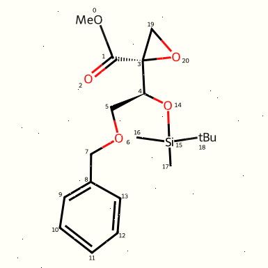 COC(=O)[C@]1([C@H](COCc2ccccc2)O[Si](C)(C)C(C)(C)C)CO1